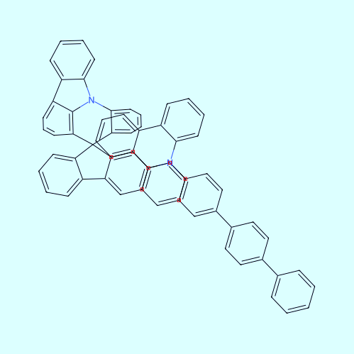 c1ccc(-c2ccc(-c3ccc(N(c4ccc5c(c4)C4(c6ccccc6-5)c5ccccc5-n5c6ccccc6c6cccc4c65)c4ccccc4-c4ccccc4-c4ccccc4)cc3)cc2)cc1